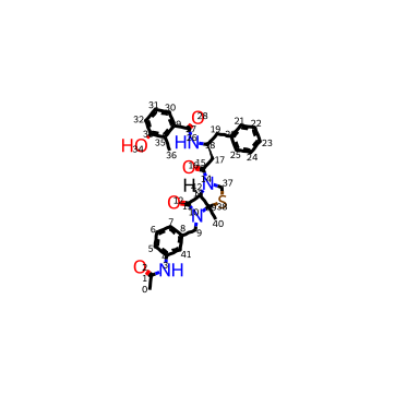 CC(=O)Nc1cccc(CN2C(=O)[C@H]3N(C(=O)C[C@H](Cc4ccccc4)NC(=O)c4cccc(O)c4C)CSC32C)c1